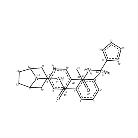 COc1cccc(C(=O)NC2CC3CCC(C2)N3c2ccc(C(=O)NCc3cccs3)cn2)c1C